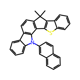 CC1(C)c2ccc3c4ccccc4n(-c4ccc5ccccc5c4)c3c2-c2sc3ccccc3c21